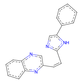 C(=C/c1ncc(-c2ccccc2)[nH]1)/c1cnc2ccccc2n1